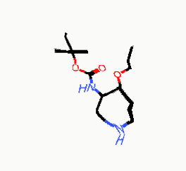 CCOC1CCNCC1NC(=O)OC(C)(C)C